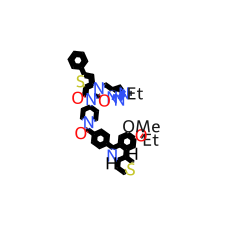 CCOc1cc2c(cc1OC)C(c1ccc(C(=O)N3CCC(n4c(=O)c5sc(-c6ccccc6)cc5n(Cc5cn(CC)nn5)c4=O)CC3)cc1)=N[C@@H]1CCSC[C@H]21